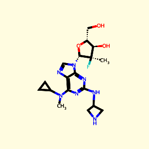 CN(c1nc(NC2CNC2)nc2c1ncn2[C@@H]1O[C@H](CO)[C@@H](O)[C@@]1(C)F)C1CC1